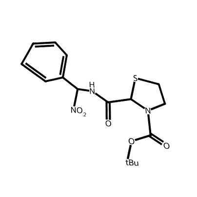 CC(C)(C)OC(=O)N1CCSC1C(=O)NC(c1ccccc1)[N+](=O)[O-]